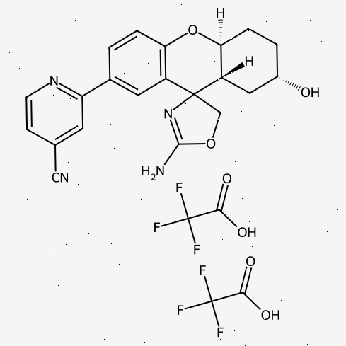 N#Cc1ccnc(-c2ccc3c(c2)C2(COC(N)=N2)[C@H]2C[C@@H](O)CC[C@@H]2O3)c1.O=C(O)C(F)(F)F.O=C(O)C(F)(F)F